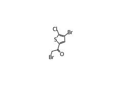 O=C(CBr)c1cc(Br)c(Cl)s1